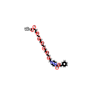 CC(C)(C)OC(=O)CCOCCOCCOCCOCCOCCOCCN1CCN(C(=O)OCc2ccccc2)CC1